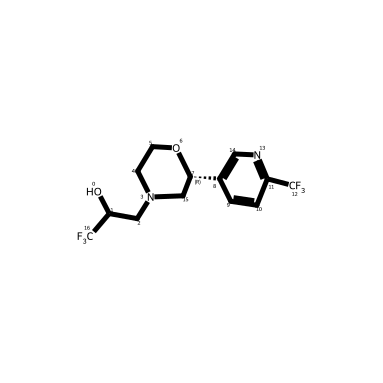 OC(CN1CCO[C@H](c2ccc(C(F)(F)F)nc2)C1)C(F)(F)F